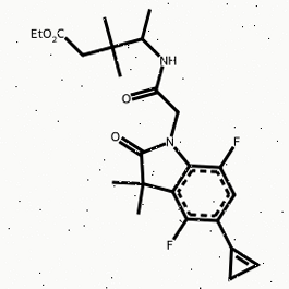 CCOC(=O)CC(C)(C)C(C)NC(=O)CN1C(=O)C(C)(C)c2c(F)c(C3=CC3)cc(F)c21